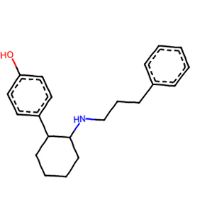 Oc1ccc(C2CCCCC2NCCCc2ccccc2)cc1